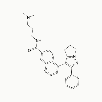 CN(C)CCCNC(=O)c1ccc2c(-c3c(-c4ccccn4)nn4c3CCC4)ccnc2c1